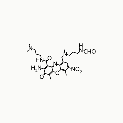 Cc1c2oc3c(C)c([N+](=O)[O-])cc(CN(C)CCCNC=O)c3nc-2c(C(=O)NCCCN(C)C)c(N)c1=O